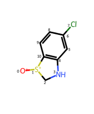 [O-][S+]1CNc2cc(Cl)ccc21